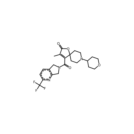 CC1=C(C(=O)N2Cc3ccc(C(F)(F)F)nc3C2)C2(CCN(C3CCOCC3)CC2)OC1=O